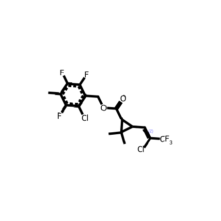 Cc1c(F)c(F)c(COC(=O)C2C(/C=C(\Cl)C(F)(F)F)C2(C)C)c(Cl)c1F